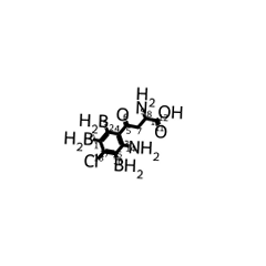 Bc1c(B)c(C(=O)CC(N)C(=O)O)c(N)c(B)c1Cl